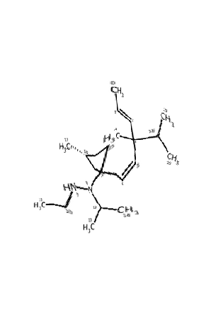 C/C=C/C(C)(/C=C\C1(N(NCC)C(C)C)C[C@H]1C)C(C)C